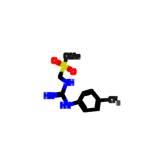 COS(=O)(=O)CNC(=N)Nc1ccc(C(F)(F)F)cc1